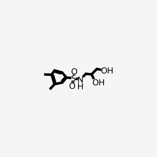 Cc1ccc(S(=O)(=O)NCC(O)CO)cc1C